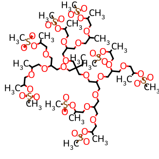 CCC(COCC(COCC(C)OS(C)(=O)=O)OCC(C)OCC(C)OS(C)(=O)=O)(COCC(COCC(C)OCC(C)OS(C)(=O)=O)OCC(C)OS(C)(=O)=O)COCC(COCC(COCC(C)OS(C)(=O)=O)OCC(C)OS(C)(=O)=O)OCC(COCC(C)OS(C)(=O)=O)OCC(C)OS(C)(=O)=O